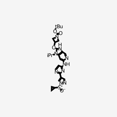 CC(C)N1c2cc(Nc3ccnc(-c4cnn([S+]([O-])C5CC5)c4)n3)ncc2NC1OC1CN(C(=O)OC(C)(C)C)C1